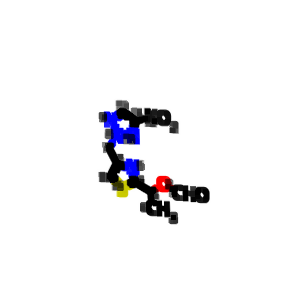 CC(OC=O)c1nc(Cn2ncc([N+](=O)[O-])n2)cs1